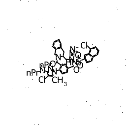 CCCN(CCC)c1nn(-c2ccc(C(=O)NS(=O)(=O)c3ccc4cccc(Cl)c4c3)cc2C(=O)N2Cc3ccccc3CC2CN=[N+]=[N-])c(C)c1Cl